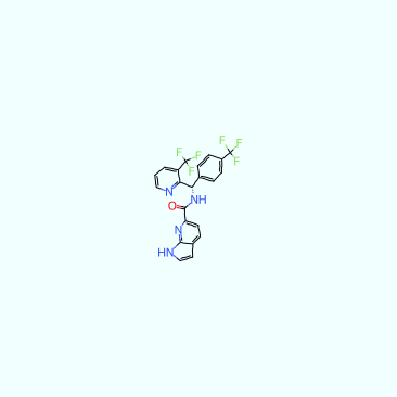 O=C(N[C@@H](c1ccc(C(F)(F)F)cc1)c1ncccc1C(F)(F)F)c1ccc2cc[nH]c2n1